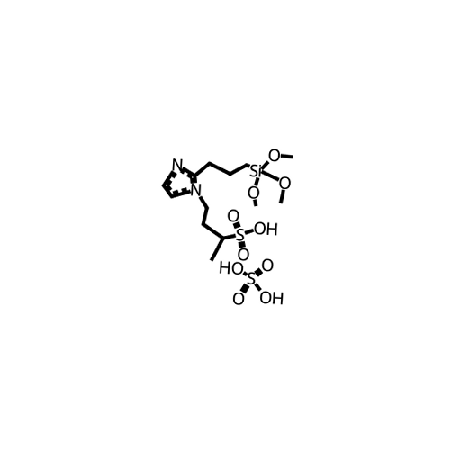 CO[Si](CCCc1nccn1CCC(C)S(=O)(=O)O)(OC)OC.O=S(=O)(O)O